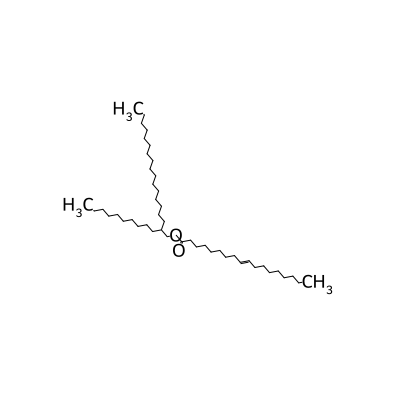 CCCCCCCCC=CCCCCCCCC(=O)OCC(CCCCCCCCCC)CCCCCCCCCCCCCCCC